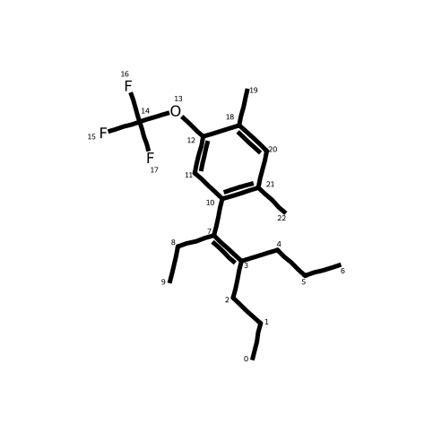 CCCC(CCC)=C(CC)c1cc(OC(F)(F)F)c(C)cc1C